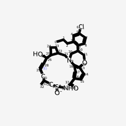 CCCc1cc(Cl)ccc1C1COc2ccc3cc2N(C1)CC1CCC1C(O)/C=C/CC(C)C[S+]([O-])NC3=O